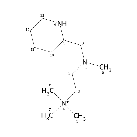 CN(CC[N+](C)(C)C)CC1CCCCN1